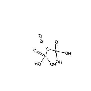 O=P(O)(O)OP(=O)(O)O.[Zr].[Zr]